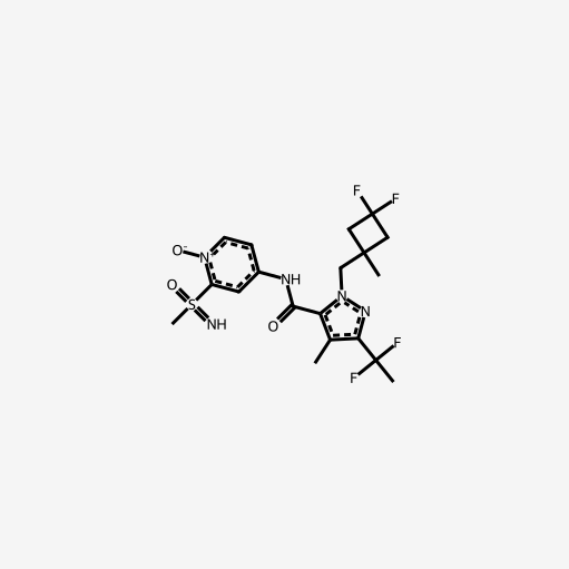 Cc1c(C(C)(F)F)nn(CC2(C)CC(F)(F)C2)c1C(=O)Nc1cc[n+]([O-])c(S(C)(=N)=O)c1